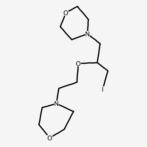 ICC(CN1CCOCC1)OCCN1CCOCC1